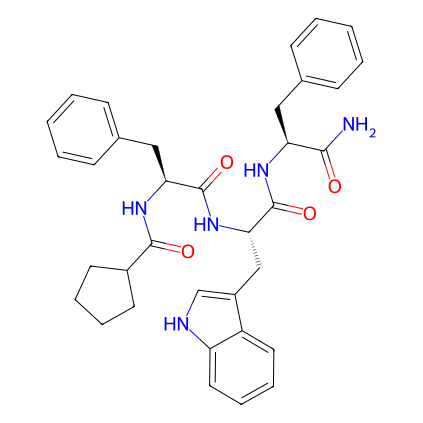 NC(=O)[C@H](Cc1ccccc1)NC(=O)[C@H](Cc1c[nH]c2ccccc12)NC(=O)[C@H](Cc1ccccc1)NC(=O)C1CCCC1